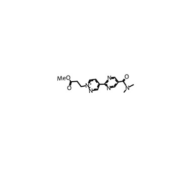 COC(=O)CC[n+]1ccc(-c2ncc(C(=O)N(C)C)cn2)cn1